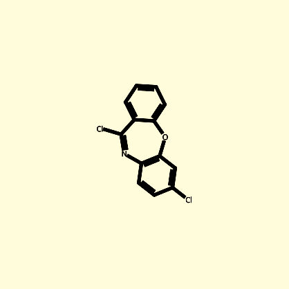 ClC1=Nc2ccc(Cl)cc2Oc2ccccc21